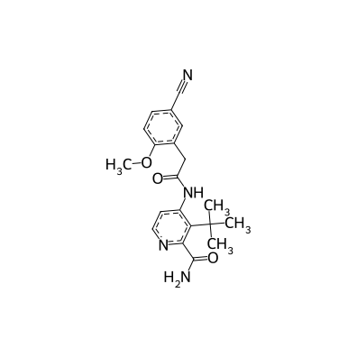 COc1ccc(C#N)cc1CC(=O)Nc1ccnc(C(N)=O)c1C(C)(C)C